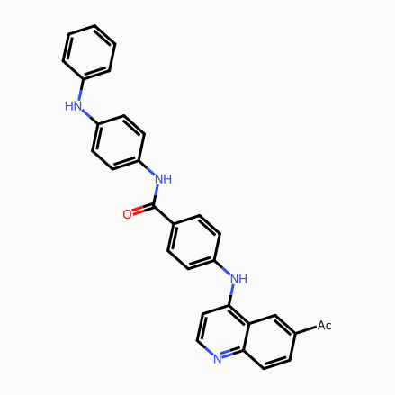 CC(=O)c1ccc2nccc(Nc3ccc(C(=O)Nc4ccc(Nc5ccccc5)cc4)cc3)c2c1